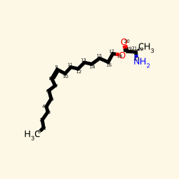 CCCCCCCC/C=C\CCCCCCCCOC(=O)[C@H](C)N